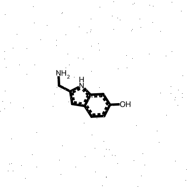 NCc1cc2ccc(O)cc2[nH]1